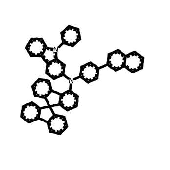 c1ccc(-n2c3ccccc3c3ccc(N(c4ccc(-c5ccc6ccccc6c5)cc4)c4cccc5c4-c4ccccc4C54c5ccccc5-c5ccccc54)cc32)cc1